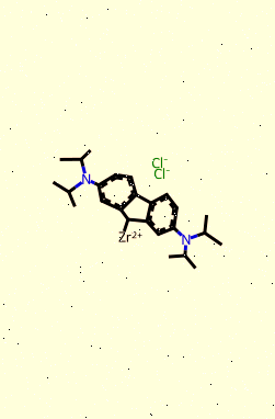 CC(C)N(c1ccc2c(c1)[CH]([Zr+2])c1cc(N(C(C)C)C(C)C)ccc1-2)C(C)C.[Cl-].[Cl-]